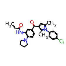 C=CC(=O)Nc1cc(C(=O)c2cc(C)n(-c3ccc(Cl)cc3)c2C)ccc1N1CCCC1